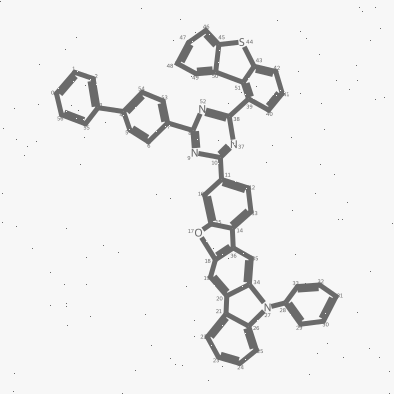 c1ccc(-c2ccc(-c3nc(-c4ccc5c(c4)oc4cc6c7ccccc7n(-c7ccccc7)c6cc45)nc(-c4cccc5sc6ccccc6c45)n3)cc2)cc1